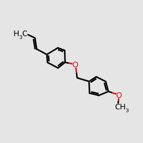 CC=Cc1ccc(OCc2ccc(OC)cc2)cc1